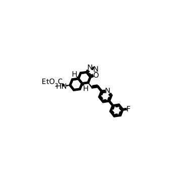 CCOC(=O)N[C@@H]1CC[C@@H]2[C@H](Cc3nnoc3[C@H]2/C=C/c2ccc(-c3cccc(F)c3)cn2)C1